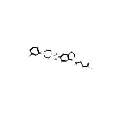 Cc1cccc(N2CCN(S(=O)(=O)c3ccc4c(c3)CCN4C(=O)CCC(=O)O)CC2)c1